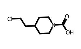 O=C(O)N1CCC(CCCl)CC1